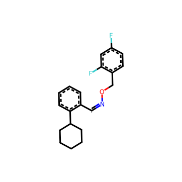 Fc1ccc(CO/N=[C]\c2ccccc2C2CCCCC2)c(F)c1